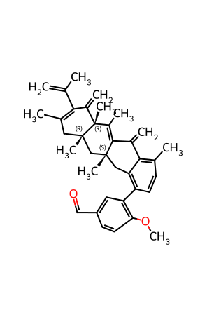 C=C(C)C1=C(C)C[C@@]2(C)C[C@@]3(C)Cc4c(-c5cc(C=O)ccc5OC)ccc(C)c4C(=C)C3=C(C)[C@@]2(C)C1=C